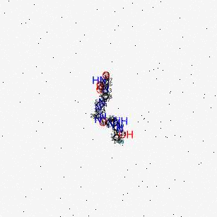 Cc1nc(O[C@H]2CN3c4cc(-c5cccc(F)c5O)nnc4NC[C@@]3(C)C2)nc(C)c1CN1CCN(c2ccc3c(c2)C(=O)N([C@H]2CCC(=O)NC2=O)C3)CC1